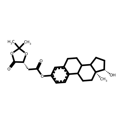 CC1(C)OC(=O)[C@@H](CC(=O)Oc2ccc3c(c2)CCC2C3CC[C@@]3(C)C2CC[C@@H]3O)O1